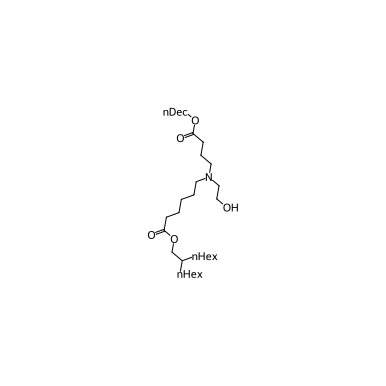 CCCCCCCCCCOC(=O)CCCN(CCO)CCCCCC(=O)OCC(CCCCCC)CCCCCC